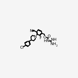 N#Cc1ccc(COC(=O)NC(=N)N)c(F)c1N1CCC(c2ccc(Cl)cc2)CC1